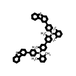 Cc1cc(-c2ccc(N(c3ccc(-c4ccc5sc6ccccc6c5c4)cc3)c3c(C)cccc3C)c(C)c2)ccc1N(c1ccc(-c2ccc3sc4ccccc4c3c2)cc1)c1c(C)cccc1C